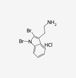 Cl.NCCc1c(Br)n(Br)c2ccccc12